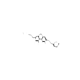 C=CCCc1cc2c(c(F)c1F)-c1c(cc(CCC3=CCCOC3)c(F)c1F)CC2